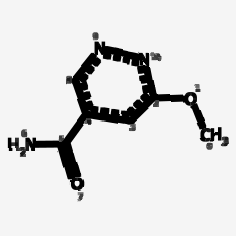 COc1cc(C(N)=O)cnn1